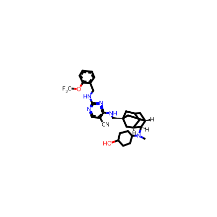 CN(C1CCC(O)CC1)[C@H]1[C@@H]2CC3C[C@H]1C[C@@](CNc1nc(NCc4ccccc4OC(F)(F)F)ncc1C#N)(C3)C2